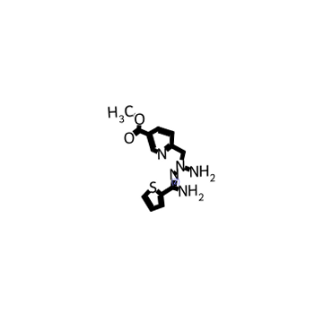 COC(=O)c1ccc(CN(N)/N=C(\N)c2cccs2)nc1